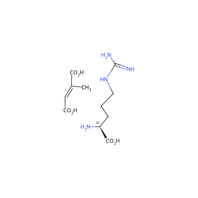 C/C(=C\C(=O)O)C(=O)O.N=C(N)NCCC[C@H](N)C(=O)O